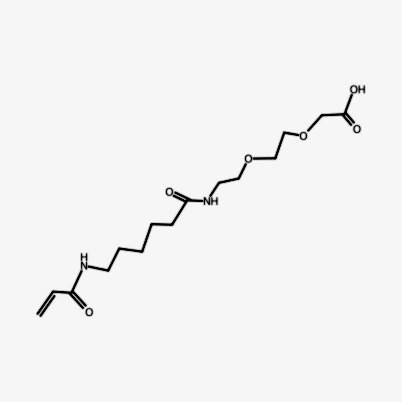 C=CC(=O)NCCCCCC(=O)NCCOCCOCC(=O)O